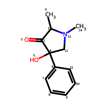 CC1C(=O)C(O)(c2ccccc2)CN1C